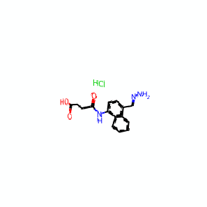 Cl.NN=Cc1ccc(NC(=O)CCC(=O)O)c2ccccc12